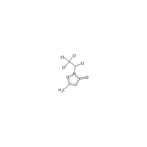 Cc1cc(=O)n(C(Cl)C(Cl)(Cl)Cl)o1